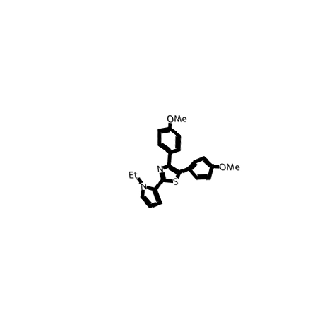 CCn1cccc1-c1nc(-c2ccc(OC)cc2)c(-c2ccc(OC)cc2)s1